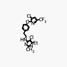 CCc1nc(C)nc(NCCc2ccc(Oc3ncc(C(F)(F)F)cc3Cl)cc2)c1Cl